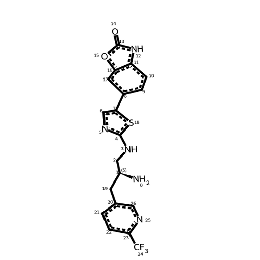 N[C@H](CNc1ncc(-c2ccc3[nH]c(=O)oc3c2)s1)Cc1ccc(C(F)(F)F)nc1